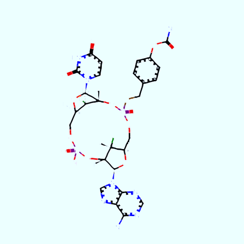 NC(=O)Oc1ccc(CSP2(=O)OC[C@H]3O[C@@H](n4cnc5c(N)ncnc54)[C@H](OP(=O)(O)OC[C@H]4O[C@@H](n5ccc(=O)[nH]c5=O)[C@H](O2)[C@@H]4F)[C@@H]3F)cc1